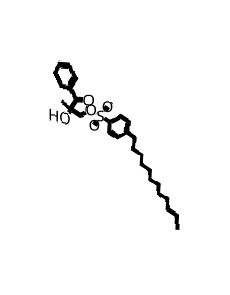 CCCCCCCCCCCCc1ccc(S(=O)(=O)OCC(C)(O)C(=O)c2ccccc2)cc1